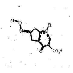 CCON=C1Cc2c(n(CC)cc(C(=O)O)c2=O)S1